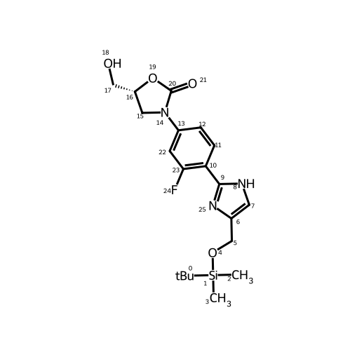 CC(C)(C)[Si](C)(C)OCc1c[nH]c(-c2ccc(N3C[C@H](CO)OC3=O)cc2F)n1